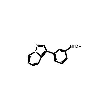 CC(=O)Nc1cccc(-c2cnn3ccccc23)c1